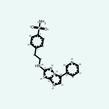 NS(=O)(=O)c1ccc(CCNc2nn3c(-c4cccnc4)cnc3s2)cc1